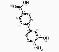 Nc1ccc(-c2ccc(C(=O)O)cc2)cc1O